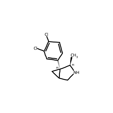 C[C@H]1NCC2C[C@]21c1ccc(Cl)c(Cl)c1